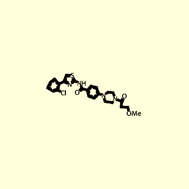 COCCC(=O)N1CCN(c2ccc(C(=O)Nc3nc(-c4ccccc4Cl)cs3)cc2)CC1